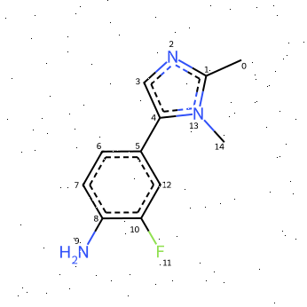 Cc1ncc(-c2ccc(N)c(F)c2)n1C